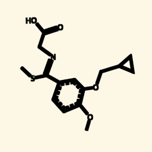 COc1ccc(C(=NCC(=O)O)SC)cc1OCC1CC1